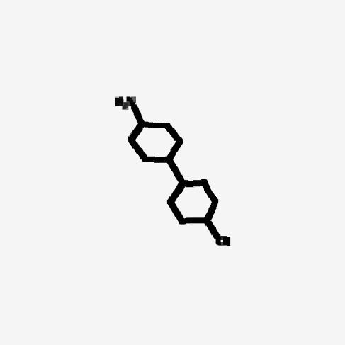 N#CC1CCC(C2CCC(N)CC2)CC1